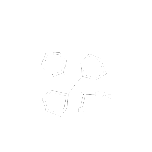 CC(=O)OC(=O)C(c1ccccc1)(c1ccccc1)c1ccccc1